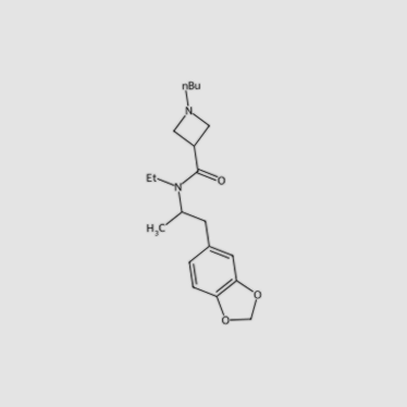 CCCCN1CC(C(=O)N(CC)C(C)Cc2ccc3c(c2)OCO3)C1